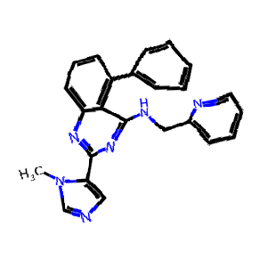 Cn1cncc1-c1nc(NCc2ccccn2)c2c(-c3ccccc3)cccc2n1